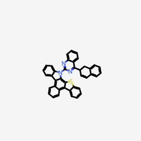 C1=CC(c2nc(-n3c4ccccc4c4c5ccccc5c5c6ccccc6sc5c43)nc3ccccc23)Cc2ccccc21